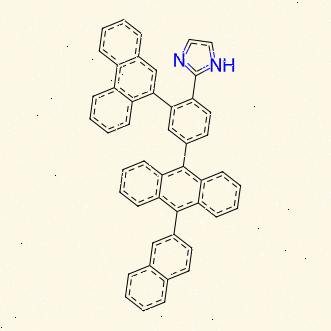 c1ccc2cc(-c3c4ccccc4c(-c4ccc(-c5ncc[nH]5)c(-c5cc6ccccc6c6ccccc56)c4)c4ccccc34)ccc2c1